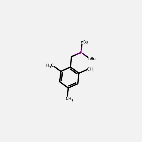 CCCCP(CCCC)Cc1c(C)cc(C)cc1C